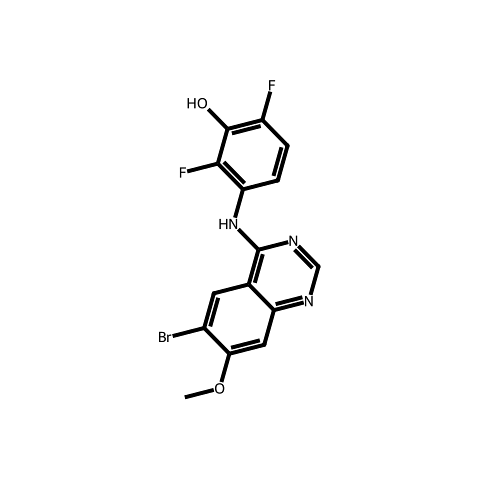 COc1cc2ncnc(Nc3ccc(F)c(O)c3F)c2cc1Br